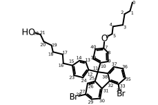 CCCCCCOc1ccc(C2(c3ccc(CCCCCCO)cc3)c3cc(Br)ccc3-c3c(Br)cccc32)cc1